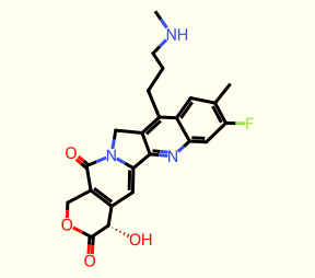 CNCCCc1c2c(nc3cc(F)c(C)cc13)-c1cc3c(c(=O)n1C2)COC(=O)[C@H]3O